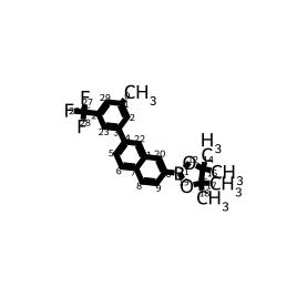 Cc1cc(-c2ccc3ccc(B4OC(C)(C)C(C)(C)O4)cc3c2)cc(C(F)(F)F)c1